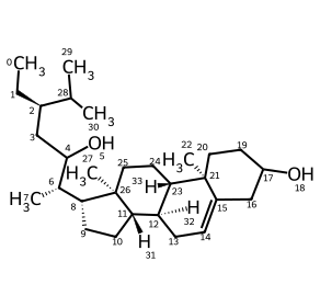 CC[C@H](CC(O)[C@@H](C)[C@H]1CC[C@H]2[C@@H]3CC=C4CC(O)CC[C@]4(C)[C@H]3CC[C@]12C)C(C)C